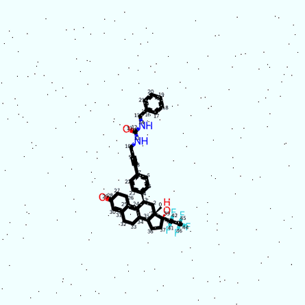 C[C@]12C[C@H](c3ccc(C#CCNC(=O)NCc4ccccc4)cc3)C3=C4CCC(=O)C=C4CCC3C1CC[C@@]2(O)C(F)(F)C(F)(F)F